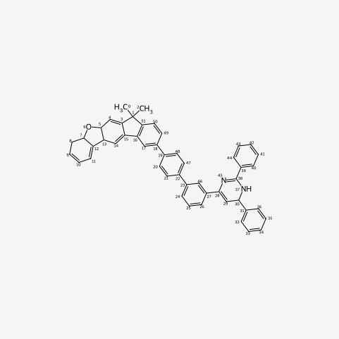 CC1(C)C2=CC3OC4CC=CC=C4C3C=C2c2cc(-c3ccc(-c4cccc(C5=CC(c6ccccc6)NC(c6ccccc6)=N5)c4)cc3)ccc21